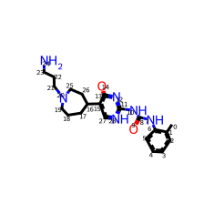 Cc1ccccc1NC(=O)Nc1nc(=O)c(C2CCCN(CCCN)CC2)c[nH]1